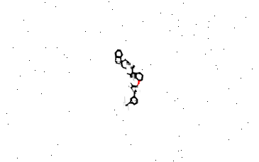 Cc1oc(-c2cccc(C(F)(F)F)c2)nc1Cn1c(C)c(C(=O)N2CCC3(CC2)OCc2ccccc23)c2ccccc21